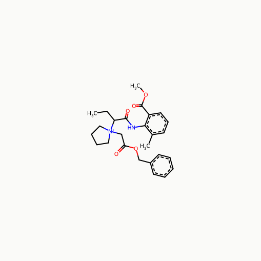 CCC(C(=O)Nc1c(C)cccc1C(=O)OC)[N+]1(CC(=O)OCc2ccccc2)CCCC1